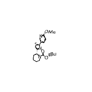 COc1ccc(-c2nc([C@H]3CCCCN3C(=O)OC(C)(C)C)cs2)cn1